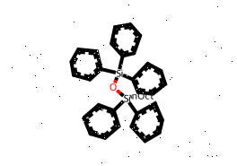 [CH2]CCCCCCC[Si](O[Si](c1ccccc1)(c1ccccc1)c1ccccc1)(c1ccccc1)c1ccccc1